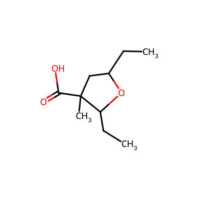 CCC1CC(C)(C(=O)O)C(CC)O1